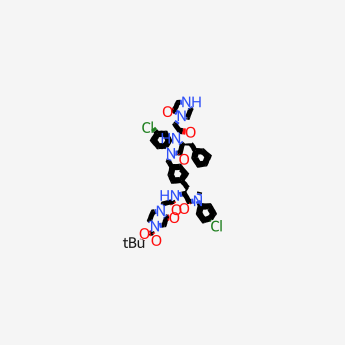 CN(C(=O)[C@H](Cc1ccc(CN(C(=O)[C@H](Cc2ccccc2)NC(=O)CN2CCNCC2=O)c2ccc(Cl)cc2)cc1)NC(=O)CN1CCN(C(=O)OC(C)(C)C)CC1=O)c1ccc(Cl)cc1